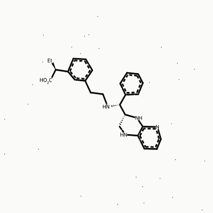 CC[C@H](C(=O)O)c1cccc(CCN[C@H](c2ccccc2)[C@H]2CNc3cccnc3N2)c1